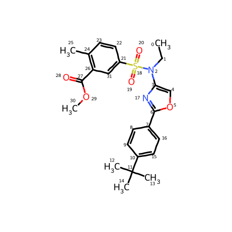 CCN(c1coc(-c2ccc(C(C)(C)C)cc2)n1)S(=O)(=O)c1ccc(C)c(C(=O)OC)c1